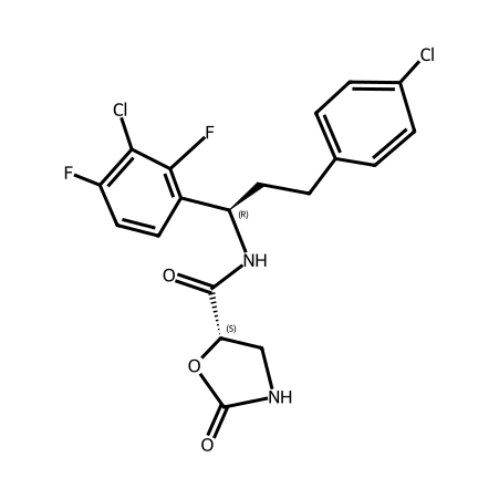 O=C1NC[C@@H](C(=O)N[C@H](CCc2ccc(Cl)cc2)c2ccc(F)c(Cl)c2F)O1